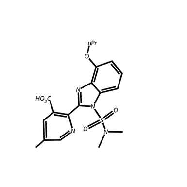 CCCOc1cccc2c1nc(-c1ncc(C)cc1C(=O)O)n2S(=O)(=O)N(C)C